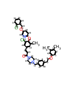 Cc1ccc(OCCc2ccc(CN3CCN(C(=O)/C=C/c4cc(C)c(Oc5ccc(OCc6ccccc6Cl)cn5)c(Cl)c4)CC3)cc2)cc1C